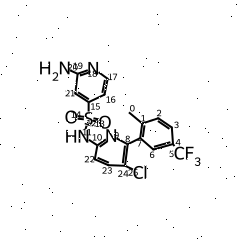 Cc1ccc(C(F)(F)F)cc1-c1nc(NS(=O)(=O)c2ccnc(N)c2)ccc1Cl